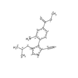 COC(=O)c1ccc(-c2c(C#N)ncn2CC(C)C)c(N)c1